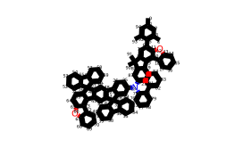 Cc1cc(C)c(-c2cc3c(c4c2oc2ccccc24)-c2ccc(N(c4ccc5c(c4)C4(c6ccccc6-c6ccccc64)c4cc6c(cc4-5)C4(c5ccccc5-c5ccccc54)c4ccc5oc7ccccc7c5c4-6)c4ccccc4-c4ccccc4)cc2C3(C)C)c(C)c1